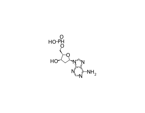 Nc1ncnc2c1ncn2[C@H]1C[C@@H](O)[C@@H](CO[PH](=O)O)O1